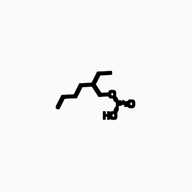 CCCCC(CC)CO[P+](=O)O